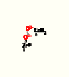 [CaH2].[O-2].[O-2].[Zr+4]